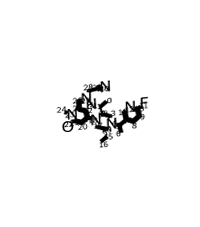 CC[C@H]1CN(C(C)c2ccc(F)nc2)[C@H](CC)CN1c1cc(=O)n(C)c2cn(CC#N)nc12